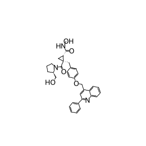 O=C(NO)[C@H]1C[C@]1(Cc1ccc(OCc2cc(-c3ccccc3)nc3ccccc23)cc1)C(=O)N1CCC[C@@H]1CO